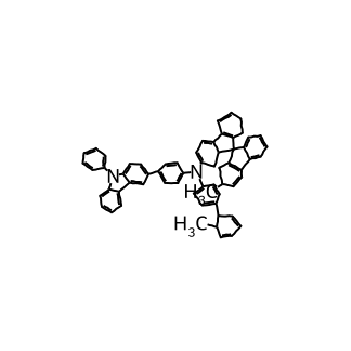 CC1C=CC2=C(C1)C1(C3=C(C=CCC3)C3=CC=C(N(c4ccc(-c5ccc6c(c5)c5ccccc5n6-c5ccccc5)cc4)c4ccc(C5C=CC=CC5C)cc4)CC31)c1ccccc12